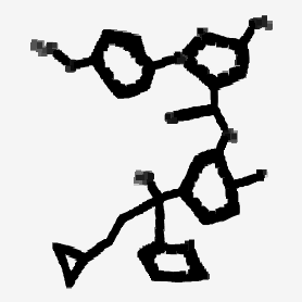 COc1ccc(-n2nc(C)cc2C(=O)Nc2cc(C(O)(CCC3CC3)c3ccccn3)ccc2F)cc1